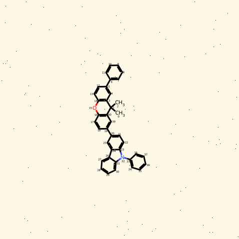 CC1(C)c2cc(-c3ccccc3)ccc2Oc2ccc(-c3ccc4c(c3)c3ccccc3n4-c3ccccc3)cc21